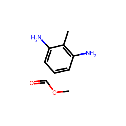 COC=O.Cc1c(N)cccc1N